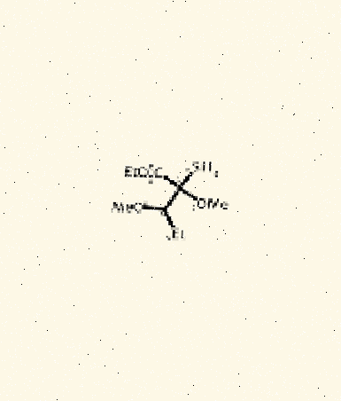 CCOC(=O)C([SiH3])(OC)C(CC)OC